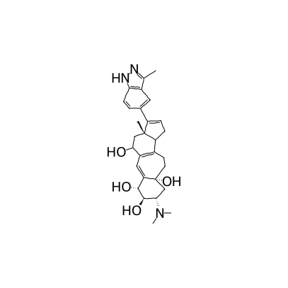 Cc1n[nH]c2ccc(C3=CCC4C5=C(C=C6[C@@H](O)[C@H](O)[C@@H](N(C)C)C[C@]6(O)CC5)C(O)C[C@]34C)cc12